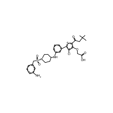 CC(C)(C)CC(=O)c1sc(-c2cccc(NC3CCN(S(=O)(=O)Cc4cccc(N)c4)CC3)c2)c(Cl)c1OCC(=O)O